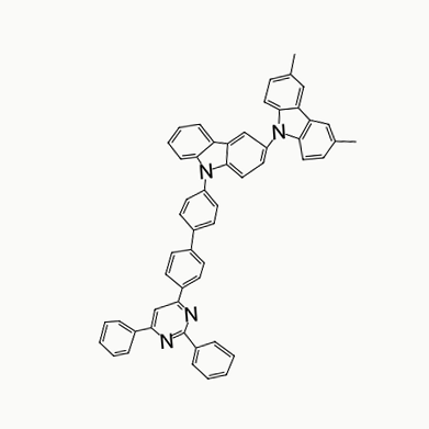 Cc1ccc2c(c1)c1cc(C)ccc1n2-c1ccc2c(c1)c1ccccc1n2-c1ccc(-c2ccc(-c3cc(-c4ccccc4)nc(-c4ccccc4)n3)cc2)cc1